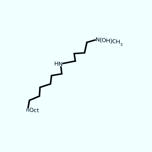 CCCCCCCCCCCCCCNCCCCN(C)O